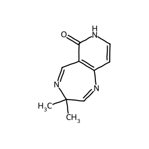 CC1(C)C=Nc2cc[nH]c(=O)c2C=N1